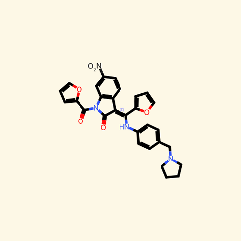 O=C1/C(=C(\Nc2ccc(CN3CCCC3)cc2)c2ccco2)c2ccc([N+](=O)[O-])cc2N1C(=O)c1ccco1